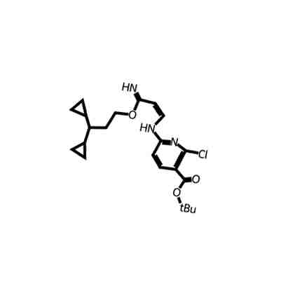 CC(C)(C)OC(=O)c1ccc(N/C=C\C(=N)OCCC(C2CC2)C2CC2)nc1Cl